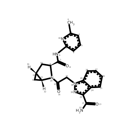 Cc1cccc(NC(=O)[C@@H]2C[C@H]3C[C@H]3N2C(=O)Cn2nc(C(N)=O)c3ccccc32)n1